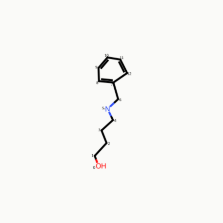 OCCCC[N]Cc1ccccc1